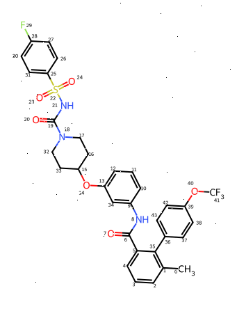 Cc1cccc(C(=O)Nc2cccc(OC3CCN(C(=O)NS(=O)(=O)c4ccc(F)cc4)CC3)c2)c1-c1ccc(OC(F)(F)F)cc1